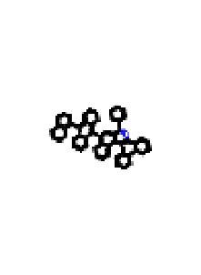 c1ccc(-c2nc3c4ccccc4c4ccccc4c3c3c2cc(-c2c4ccccc4c(-c4cccc5ccccc45)c4ccccc24)c2ccccc23)cc1